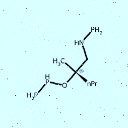 CCC[C@@](C)(CNP)OPP